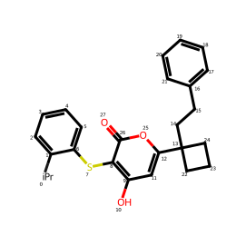 CC(C)c1ccccc1Sc1c(O)cc(C2(CCc3ccccc3)CCC2)oc1=O